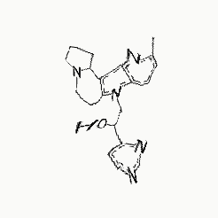 Cc1ccc2c(n1)c1c(n2CC(O)c2ccncn2)CCN2CCCC12